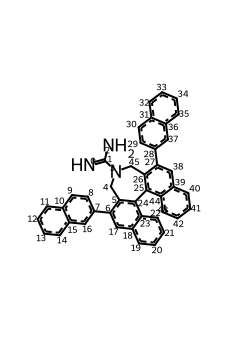 N=C(N)N1Cc2c(-c3ccc4ccccc4c3)cc3ccccc3c2-c2c(c(-c3ccc4ccccc4c3)cc3ccccc23)C1